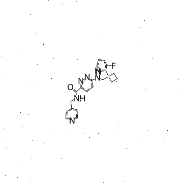 O=C(NCc1ccncc1)c1ccc(NCC2(c3ncccc3F)CCC2)nn1